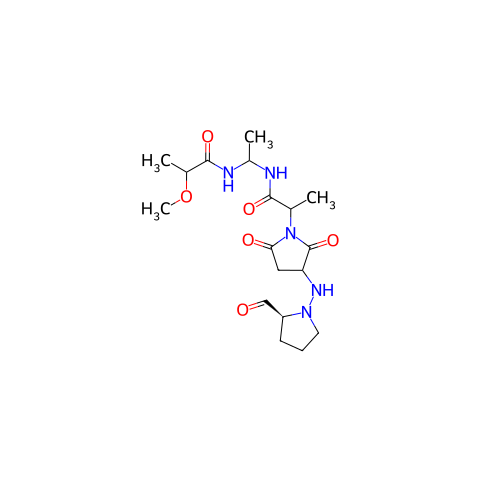 COC(C)C(=O)NC(C)NC(=O)C(C)N1C(=O)CC(NN2CCC[C@H]2C=O)C1=O